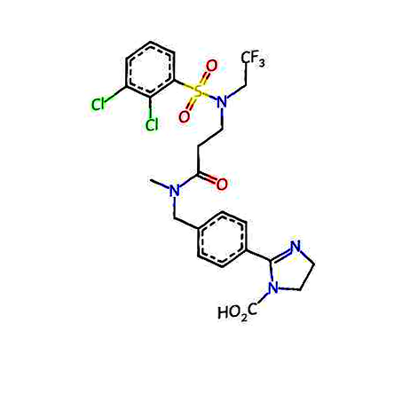 CN(Cc1ccc(C2=NCCN2C(=O)O)cc1)C(=O)CCN(CC(F)(F)F)S(=O)(=O)c1cccc(Cl)c1Cl